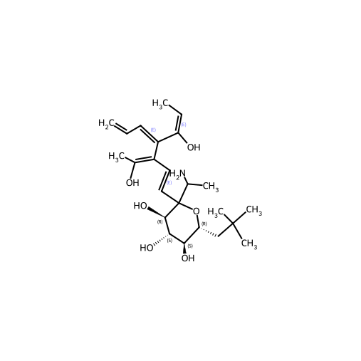 C=C/C=C(C(/C=C/C1(C(C)N)O[C@H](CC(C)(C)C)[C@@H](O)[C@H](O)[C@H]1O)=C(C)O)/C(O)=C\C